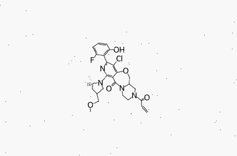 C=CC(=O)N1CCN2C(=O)c3c(N4CC(COC)C[C@@H]4C)nc(-c4c(O)cccc4F)c(Cl)c3OCC2C1